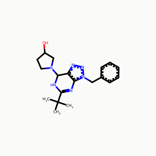 CC(C)(C)C1=Nc2c(nnn2Cc2ccccc2)C(N2CCC(O)C2)N1